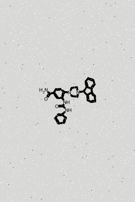 NC(=O)c1ccc(N2CCN(C3c4ccccc4-c4ccccc43)CC2)c(NC(=O)Nc2ccccc2)c1